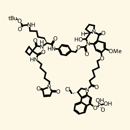 COc1cc2c(cc1OCCCCCC(=O)N1C[C@@H](CCl)c3c1cc(OP(=O)(O)O)c1ccccc31)N(C(=O)OCc1ccc(NC(=O)[C@H](CCCCNC(=O)OC(C)(C)C)NC(=O)C3(C(=O)NCCCCCN4C(=O)C=CC4=O)CCC3)cc1)C(O)[C@@H]1CCCN1C2=O